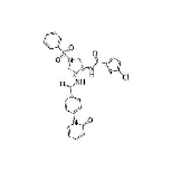 O=C(N[C@@H]1CN(S(=O)(=O)c2ccccc2)C[C@H]1NC(=O)c1ccc(Cl)s1)c1ccc(-n2ccccc2=O)cc1